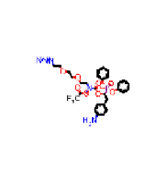 [N-]=[N+]=NCCOCCOCCN(OC(=O)C(F)(F)F)C(=O)OC(Cc1ccc(N)cc1)P(=O)(Oc1ccccc1)Oc1ccccc1